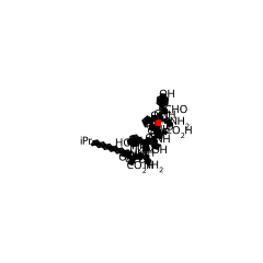 CC(C)CCCCCCCCCCC(O)CC(=O)N[C@@H](CCC(=O)O)C(=O)N[C@@H](CCCN)C(=O)N[C@@H](Cc1ccc(O)cc1)C(=O)N[C@H](C(=O)N[C@@H](CCC(=O)O)C(=O)N[C@@H](C)C(=O)N1CCC[C@H]1C(=O)N[C@@H](CCC(N)=O)C(=O)N[C@H]([C]=O)Cc1ccc(O)cc1)[C@@H](C)O